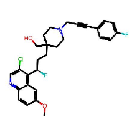 COc1ccc2ncc(Cl)c([C@H](F)CCC3(CO)CCN(CC#Cc4ccc(F)cc4)CC3)c2c1